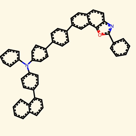 c1ccc(-c2nc3ccc4ccc(-c5ccc(-c6ccc(N(c7ccccc7)c7ccc(-c8cccc9ccccc89)cc7)cc6)cc5)cc4c3o2)cc1